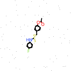 CC(=O)Oc1ccc(CSC(=S)Nc2ccc(F)cc2)cc1